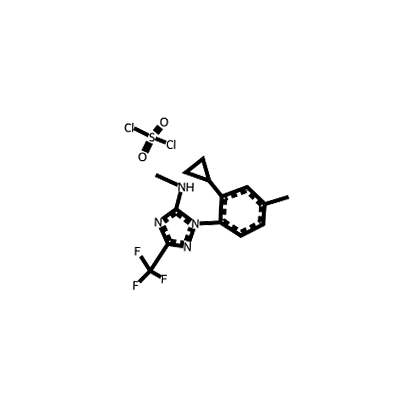 CNc1nc(C(F)(F)F)nn1-c1ccc(C)cc1C1CC1.O=S(=O)(Cl)Cl